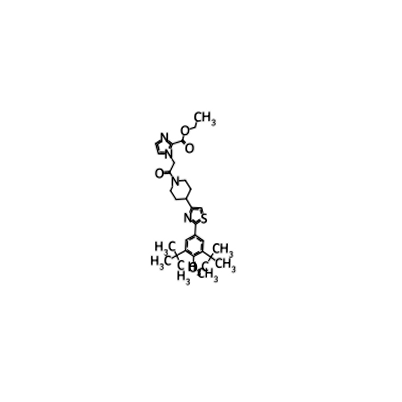 CCOC(=O)c1nccn1CC(=O)N1CCC(c2csc(-c3cc(C(C)(C)C)c(OC)c(C(C)(C)C)c3)n2)CC1